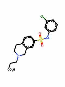 O=C(O)CCN1CCc2ccc(S(=O)(=O)Nc3cccc(Cl)c3)cc2C1